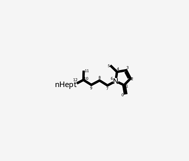 C=C1C=CC(C)N1CCCC(C)CCCCCCC